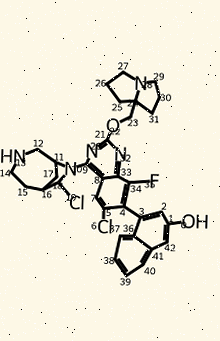 Oc1cc(-c2c(Cl)cc3c(N4C5CNCCC(C5)C4Cl)nc(OCC45CCCN4CCC5)nc3c2F)c2ccccc2c1